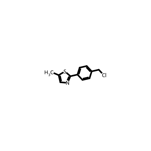 Cc1cnc(-c2ccc(CCl)cc2)s1